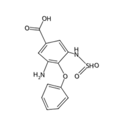 Nc1cc(C(=O)O)cc(N[SH](=O)=O)c1Oc1ccccc1